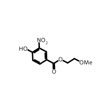 COCCOC(=O)c1ccc(O)c([N+](=O)[O-])c1